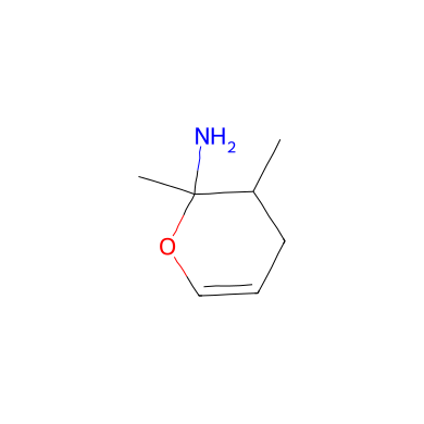 CC1CC=COC1(C)N